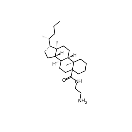 CCC[C@@H](C)[C@H]1CC[C@H]2[C@@H]3CCC4(C(=O)NCCN)CCCC[C@]4(C)[C@H]3CC[C@]12C